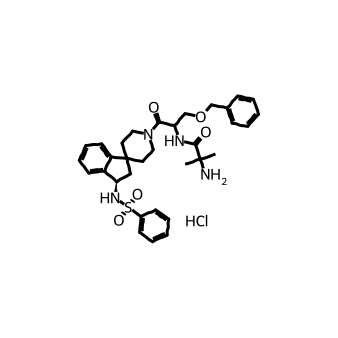 CC(C)(N)C(=O)NC(COCc1ccccc1)C(=O)N1CCC2(CC1)C[C@@H](NS(=O)(=O)c1ccccc1)c1ccccc12.Cl